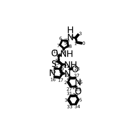 C=CC(=C)N[C@H]1CCC(NC(=O)c2sc3nccc4c3c2NC(=O)N4c2ccc(Oc3ccccc3)nc2)C1